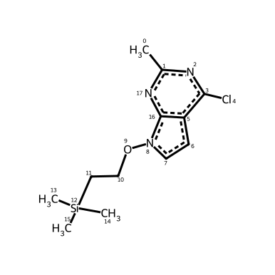 Cc1nc(Cl)c2ccn(OCC[Si](C)(C)C)c2n1